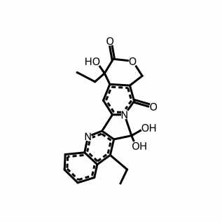 CCc1c2c(nc3ccccc13)-c1cc3c(c(=O)n1C2(O)O)COC(=O)C3(O)CC